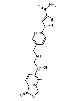 Cc1c([C@@H](O)CNCc2ccc(-n3cc(C(N)=O)cn3)nc2)ccc2c1COC2=O